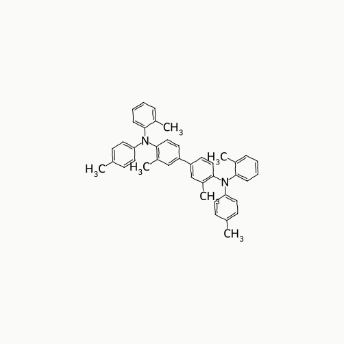 Cc1ccc(N(c2ccccc2C)c2ccc(-c3ccc(N(c4ccc(C)cc4)c4ccccc4C)c(C)c3)cc2C)cc1